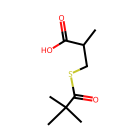 CC(CSC(=O)C(C)(C)C)C(=O)O